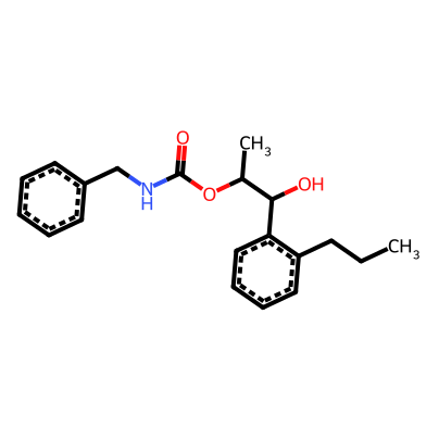 CCCc1ccccc1C(O)C(C)OC(=O)NCc1ccccc1